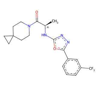 C[C@@H](Nc1nnc(-c2cccc(C(F)(F)F)c2)o1)C(=O)N1CCC2(CC1)CC2